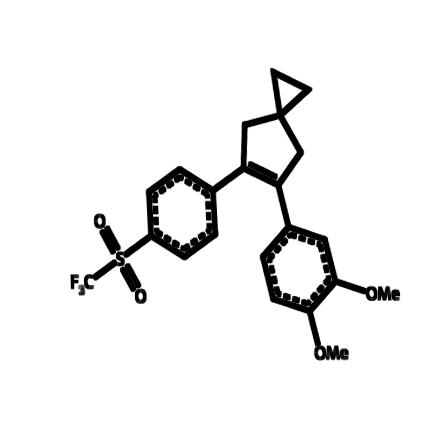 COc1ccc(C2=C(c3ccc(S(=O)(=O)C(F)(F)F)cc3)CC3(CC3)C2)cc1OC